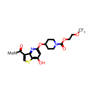 CNC(=O)c1csc2c(O)cc(OC3CCN(C(=O)OCCOC(F)(F)F)CC3)nc12